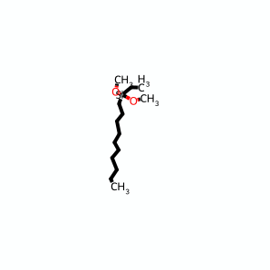 CCCCCCCCCC[Si](CC)(OC)OC